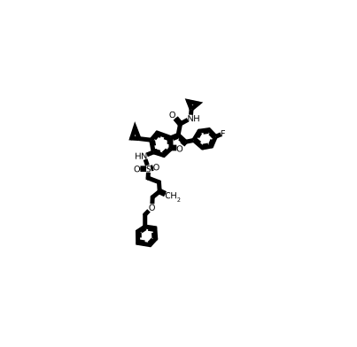 C=C(CCS(=O)(=O)Nc1cc2oc(-c3ccc(F)cc3)c(C(=O)NC3CC3)c2cc1C1CC1)COCc1ccccc1